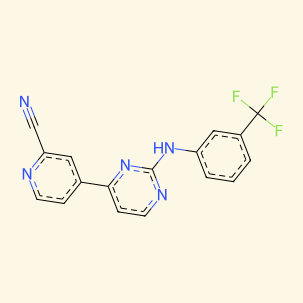 N#Cc1cc(-c2ccnc(Nc3cccc(C(F)(F)F)c3)n2)ccn1